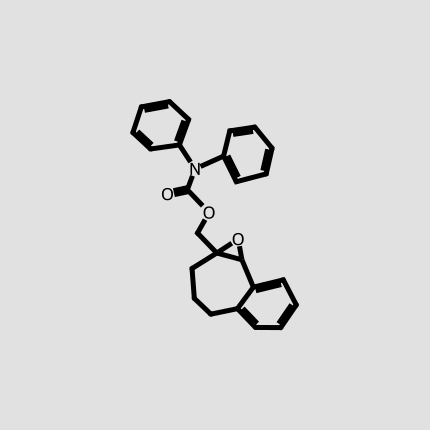 O=C(OCC12CCCc3ccccc3C1O2)N(c1ccccc1)c1ccccc1